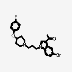 CC(=O)c1cn(CCCN2CCC(Oc3ccc(F)cc3)CC2)c2ccc(Br)cc12